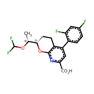 C[C@@H](OC(F)F)[C@@H]1CCc2c(-c3ccc(F)cc3F)cc(C(=O)O)nc2O1